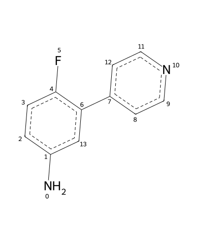 Nc1ccc(F)c(-c2ccncc2)c1